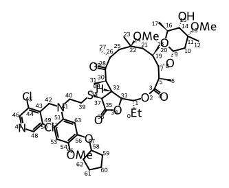 CC[C@H]1OC(=O)[C@H](C)[C@@H](O[C@H]2C[C@@](C)(OC)[C@@H](O)[C@H](C)O2)[C@H](C)C[C@](C)(OC)C[C@@H](C)C(=O)[C@H](C)[C@@H]2C1OC(=O)[C@H]2SCCN(Cc1c(Cl)cncc1Cl)c1ccc(OC)c(OC2CCCC2)c1